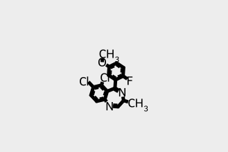 COc1ccc(F)c(C2=NC(C)C=Nc3ccc(Cl)c(Cl)c32)c1